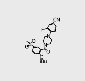 CCC(C)Oc1ccc(S(C)(=O)=O)cc1C(=O)N1CCN(c2ccc(C#N)cc2F)CC1